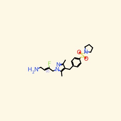 Cc1nn(C/C(F)=C/CN)c(C)c1Cc1ccc(S(=O)(=O)N2CCCC2)cc1